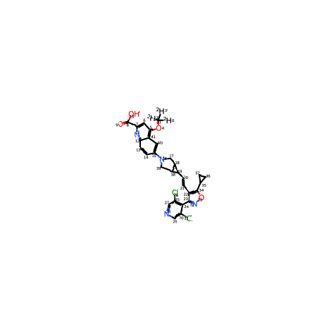 [2H]C([2H])([2H])Oc1cc(C(=O)O)nc2ccc(N3CC4C(/C=C/c5c(-c6c(Cl)cncc6Cl)noc5C5CC5)C4C3)cc12